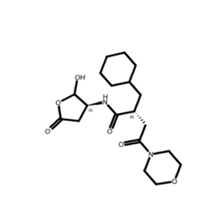 O=C1C[C@H](NC(=O)[C@@H](CC(=O)N2CCOCC2)CC2CCCCC2)C(O)O1